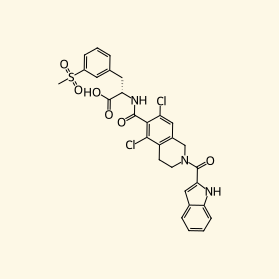 CS(=O)(=O)c1cccc(C[C@H](NC(=O)c2c(Cl)cc3c(c2Cl)CCN(C(=O)c2cc4ccccc4[nH]2)C3)C(=O)O)c1